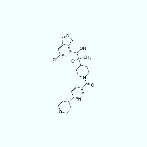 CC(C)(C1CCN(C(=O)c2ccc(N3CCOCC3)nc2)CC1)C(O)c1cc(Cl)cc2cn[nH]c12